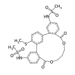 CSc1ccc2cc1-c1cc(NS(C)(=O)=O)ccc1C(=O)OCCCOC(=O)c1ccc(NS(C)(=O)=O)cc1-2